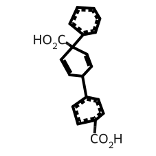 O=C(O)c1ccc(C2C=CC(C(=O)O)(c3ccccc3)C=C2)cc1